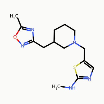 CNc1ncc(CN2CCCC(Cc3noc(C)n3)C2)s1